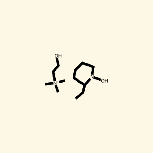 CCC1CCCCN1O.C[N+](C)(C)CCO